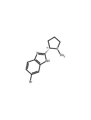 PN1CCC[C@H]1c1nc2ccc(Br)cc2[nH]1